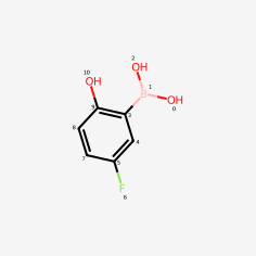 OB(O)c1cc(F)ccc1O